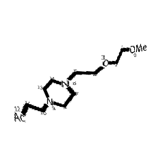 COCCOCCN1CCN(CCC(C)=O)CC1